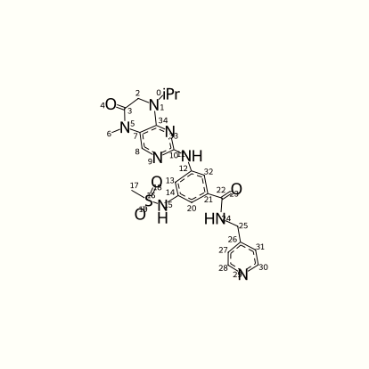 CC(C)N1CC(=O)N(C)c2cnc(Nc3cc(NS(C)(=O)=O)cc(C(=O)NCc4ccncc4)c3)nc21